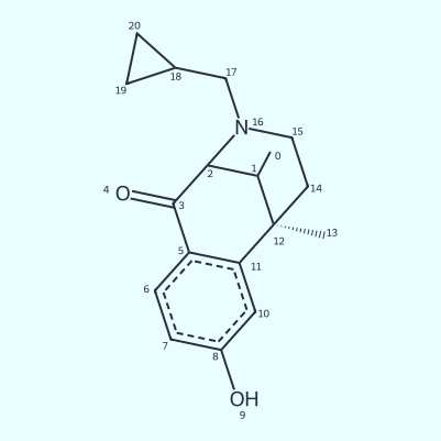 CC1C2C(=O)c3ccc(O)cc3[C@]1(C)CCN2CC1CC1